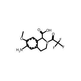 COc1cc2c(cc1N)CCN(C(=O)C(F)(F)F)C2C(=O)O